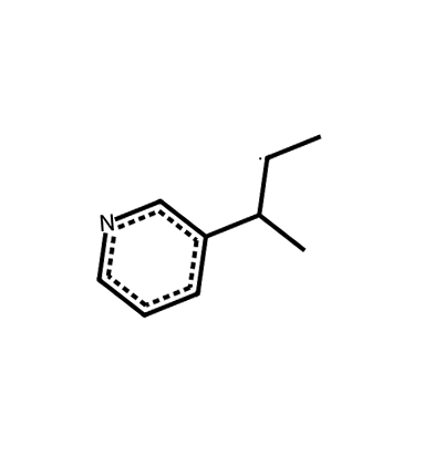 C[CH]C(C)c1cccnc1